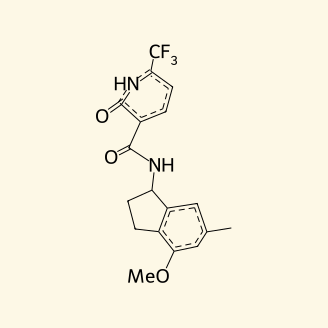 COc1cc(C)cc2c1CCC2NC(=O)c1ccc(C(F)(F)F)[nH]c1=O